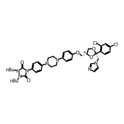 CCCCn1c(=O)n(-c2ccc(N3CCN(c4ccc(OC[C@@H]5CO[C@@](Cn6ccnc6)(c6ccc(Cl)cc6Cl)O5)cc4)CC3)cc2)c(=O)n1CCCC